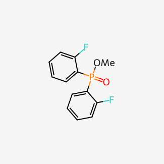 COP(=O)(c1ccccc1F)c1ccccc1F